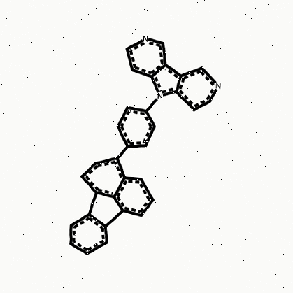 c1ccc2c(c1)-c1cccc3c(-c4ccc(-n5c6ccncc6c6cnccc65)cc4)ccc-2c13